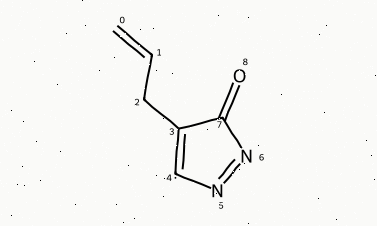 C=CCC1=[C]N=NC1=O